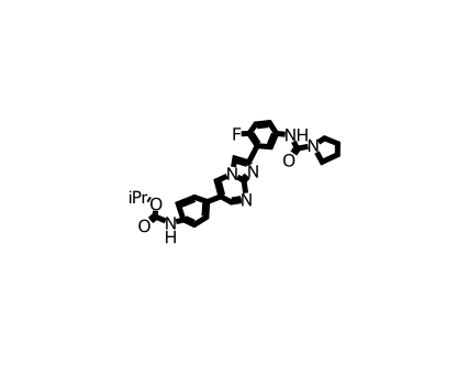 CC(C)OC(=O)Nc1ccc(-c2cnc3nc(-c4cc(NC(=O)N5CCCC5)ccc4F)cn3c2)cc1